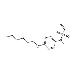 C=CS(=O)(=O)N(C)c1ccc(OCCCCCC)cc1